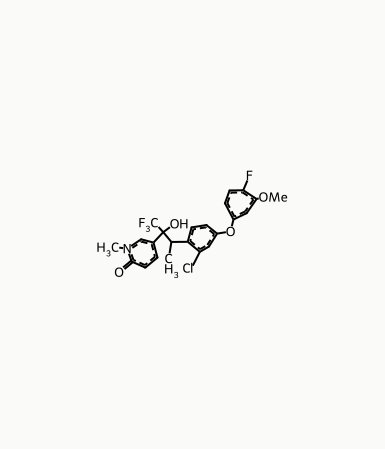 COc1cc(Oc2ccc(C(C)C(O)(c3ccc(=O)n(C)c3)C(F)(F)F)c(Cl)c2)ccc1F